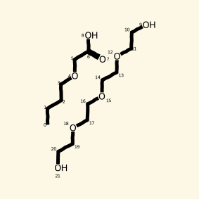 CCCCOCC(=O)O.OCCOCCOCCOCCO